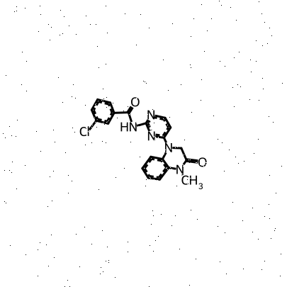 CN1C(=O)CN(c2ccnc(NC(=O)c3cccc(Cl)c3)n2)c2ccccc21